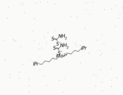 CC(C)CCCC[CH2][Mo+2][CH2]CCCCC(C)C.NC(=S)[S-].NC(=S)[S-]